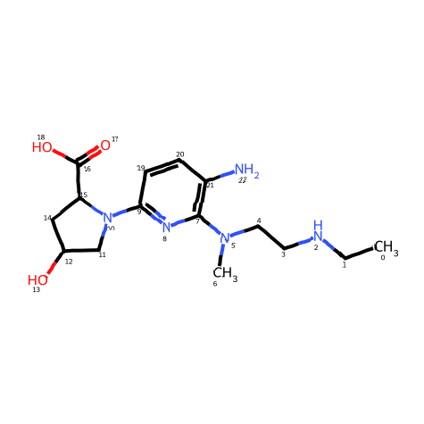 CCNCCN(C)c1nc(N2CC(O)CC2C(=O)O)ccc1N